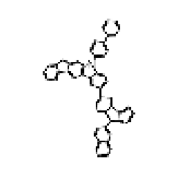 c1ccc(-c2ccc(-n3c4ccc(-c5ccc6c(c5)-c5ccccc5C6c5ccc6ccccc6c5)cc4c4cc5c(cc43)Cc3ccccc3-5)cc2)cc1